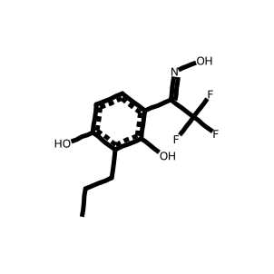 CCCc1c(O)ccc(/C(=N/O)C(F)(F)F)c1O